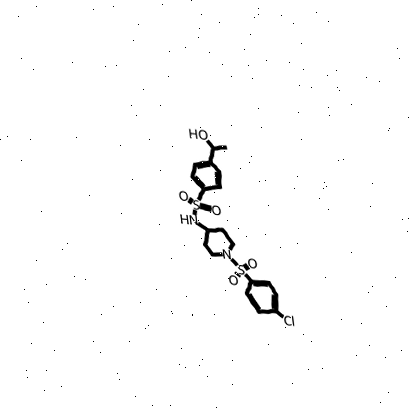 CC(O)c1ccc(S(=O)(=O)NC2CCN(S(=O)(=O)c3ccc(Cl)cc3)CC2)cc1